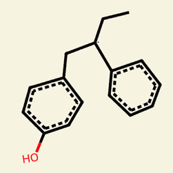 CC[C](Cc1ccc(O)cc1)c1ccccc1